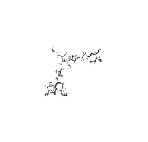 CCCC[C@@H](C)N(CCNCCc1ccc(O)c2c1OCC(=O)N2)C(=O)CCNCCc1ccc(Cl)c(Cl)c1